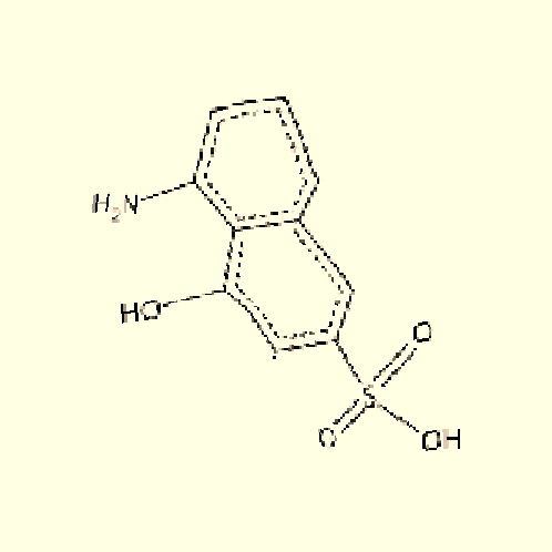 Nc1cccc2cc(S(=O)(=O)O)[c]c(O)c12